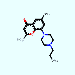 CCOC(=O)c1cc(=O)c2cc(OC)cc(N3CCN(CCOC)CC3)c2o1